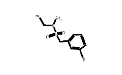 CN(CC#N)S(=O)(=O)Cc1cccc(Br)c1